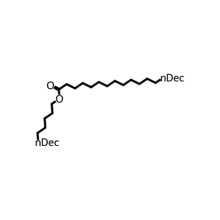 CCCCCCCCCCCCCCCCCCCCCCC(=O)OCCCCCCCCCCCCCCC